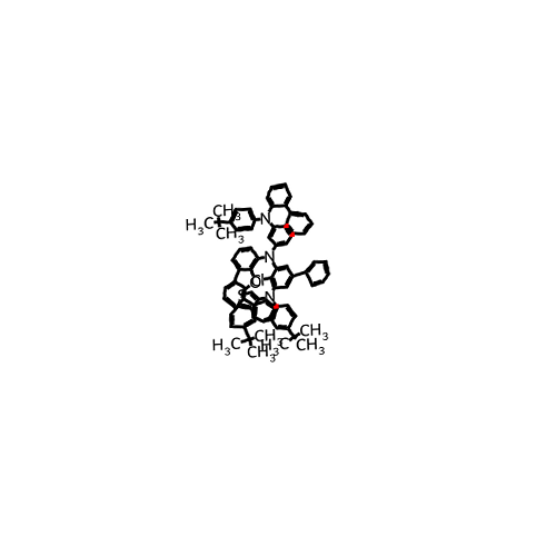 CC(C)(C)c1ccc(N(c2cccc(N(c3cc(-c4ccccc4)cc(N(c4ccc(C(C)(C)C)cc4)c4csc5ccc(C(C)(C)C)cc45)c3Cl)c3cccc4c3oc3c(-c5ccccc5)cccc34)c2)c2ccccc2-c2ccccc2)cc1